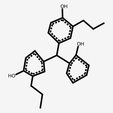 CCCc1cc(C(c2ccc(O)c(CCC)c2)c2ccccc2O)ccc1O